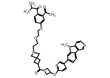 CC(=O)c1cc(OCCOCCN2CC3(CC(C(=O)N4CC(Oc5ccc(-c6ccc7c8cnccc8n(C)c7c6)cn5)C4)C3)C2)ccc1C(=O)C(C)C